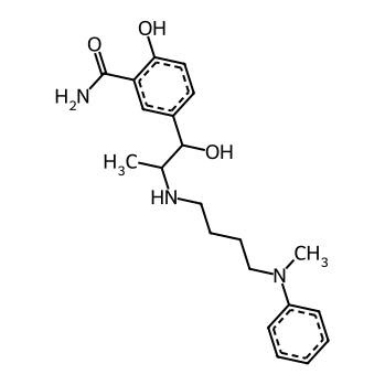 CC(NCCCCN(C)c1ccccc1)C(O)c1ccc(O)c(C(N)=O)c1